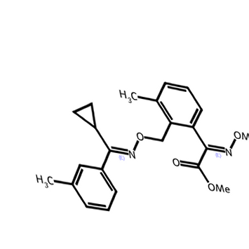 CO/N=C(/C(=O)OC)c1cccc(C)c1CO/N=C(/c1cccc(C)c1)C1CC1